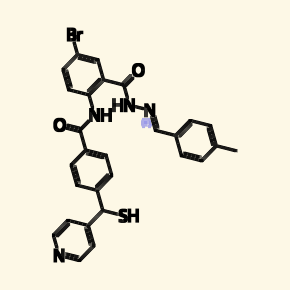 Cc1ccc(/C=N/NC(=O)c2cc(Br)ccc2NC(=O)c2ccc(C(S)c3ccncc3)cc2)cc1